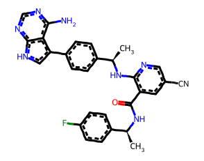 C[C@H](NC(=O)c1cc(C#N)cnc1N[C@H](C)c1ccc(-c2c[nH]c3ncnc(N)c23)cc1)c1ccc(F)cc1